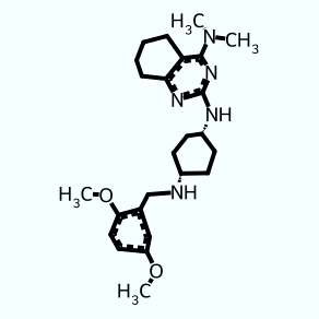 COc1ccc(OC)c(CN[C@H]2CC[C@@H](Nc3nc4c(c(N(C)C)n3)CCCC4)CC2)c1